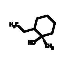 CCC1CCCC[C@@]1(C)O